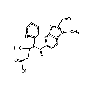 CC(CC(=O)O)N(C(=O)c1ccc2c(c1)nc(C=O)n2C)c1ccccn1